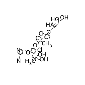 Cc1c(COc2cc(OCc3cncc(C#N)c3)c(CN(C)C(CO)CO)cc2Cl)cccc1-c1cccc(OCCC[AsH]C[C@@H](O)CO)c1Cl